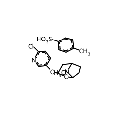 CN1C2CCC1CC(Oc1ccc(Cl)nc1)C2.Cc1ccc(S(=O)(=O)O)cc1